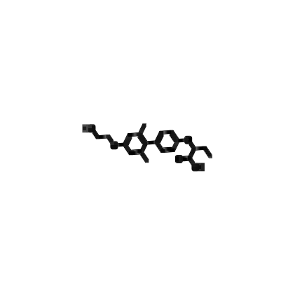 CCC(Oc1ccc(-c2c(C)cc(OCCO)cc2C)cc1)C(=O)O